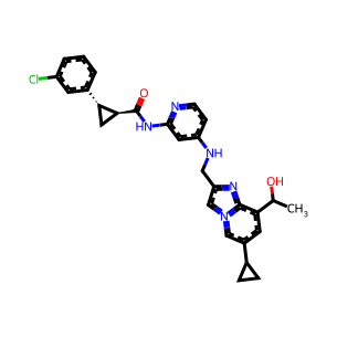 CC(O)c1cc(C2CC2)cn2cc(CNc3ccnc(NC(=O)[C@H]4C[C@@H]4c4cccc(Cl)c4)c3)nc12